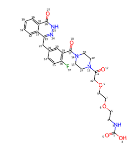 O=C(O)NCCOCCOCC(=O)N1CCN(C(=O)c2cc(Cc3n[nH]c(=O)c4ccccc34)ccc2F)CC1